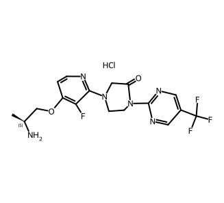 C[C@H](N)COc1ccnc(N2CCN(c3ncc(C(F)(F)F)cn3)C(=O)C2)c1F.Cl